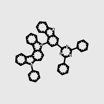 c1ccc(-c2nc(-c3ccccc3)nc(-c3cc(-n4c5ccccc5c5c6c7ccccc7n(-c7ccccc7)c6ccc54)c4c(c3)oc3ccccc34)n2)cc1